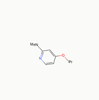 CNc1cc(OC(C)C)ccn1